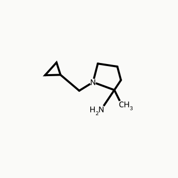 CC1(N)CCCN1CC1CC1